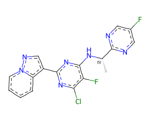 C[C@H](Nc1nc(-c2cnn3ccccc23)nc(Cl)c1F)c1ncc(F)cn1